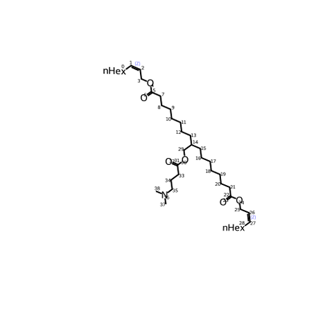 CCCCCC/C=C\COC(=O)CCCCCCCC(CCCCCCCC(=O)OC/C=C\CCCCCC)COC(=O)CCCN(C)C